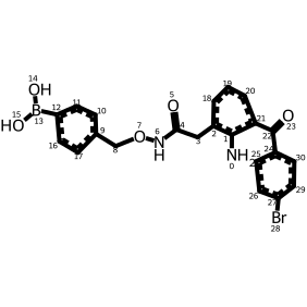 Nc1c(CC(=O)NOCc2ccc(B(O)O)cc2)cccc1C(=O)c1ccc(Br)cc1